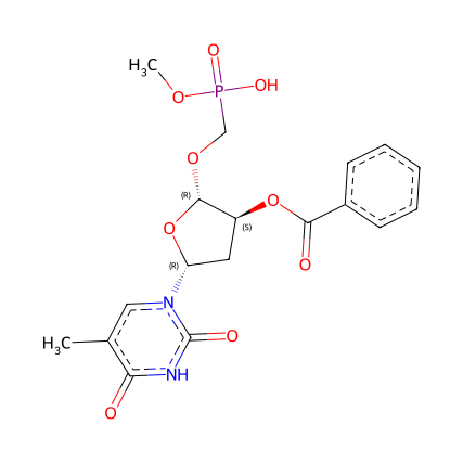 COP(=O)(O)CO[C@H]1O[C@@H](n2cc(C)c(=O)[nH]c2=O)C[C@@H]1OC(=O)c1ccccc1